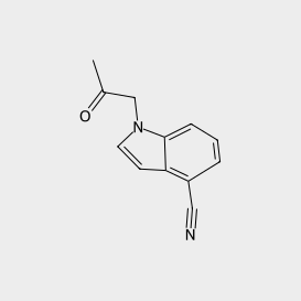 CC(=O)Cn1ccc2c(C#N)cccc21